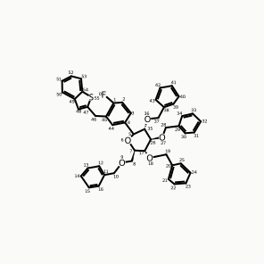 Fc1ccc(C2O[C@H](COCc3ccccc3)[C@@H](OCc3ccccc3)[C@H](OCc3ccccc3)[C@H]2OCc2ccccc2)cc1Cc1cc2ccccc2s1